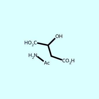 CC(N)=O.O=C(O)CC(O)C(=O)O